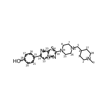 CN1CCC(CN2CCN(c3nn4cc(-c5ccc(O)cc5)nc4s3)CC2)CC1